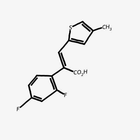 Cc1csc(C=C(C(=O)O)c2ccc(F)cc2F)c1